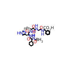 BC(=O)N[C@H](C(=O)N[C@@H](Cc1c[nH]cn1)C(=O)NC(CCC)C(=O)C(=O)NCC(=O)N[C@H](C(=O)O)c1ccccc1)C1CCCCC1